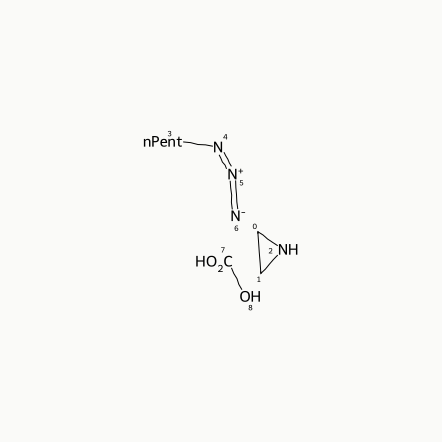 C1CN1.CCCCCN=[N+]=[N-].O=C(O)O